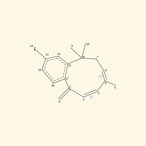 C=C1/C=C\C(C)=C/CC(C)(C)c2cc(I)ccc21